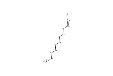 O=C=NCCCCCCCC[SiH3]